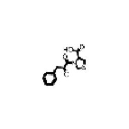 O=C(Cc1ccccc1)C(=O)N1CSCC1C(=O)O